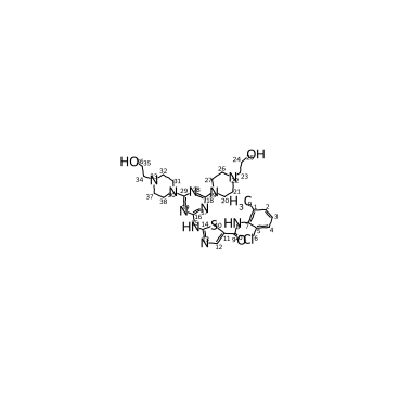 Cc1cccc(Cl)c1NC(=O)c1cnc(Nc2nc(N3CCN(CCO)CC3)nc(N3CCN(CCO)CC3)n2)s1